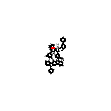 CC1=CC2C3=C(C(C)CC(C)=C3)N(c3cc(N4C5=C(C=C6C(C5)C5=C(C=CCC5)N6C5=CC=CCC5)C5C=CC=CC54)c(C#N)cc3C3NC(c4cccc(C5=CCCC=C5)c4)NC(C4C=CC=CC4)N3)C2C(C)=C1